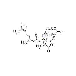 C=C1C(=O)OC2CC3=C[C@@H](C/C(C)=C/C(OC(=O)C=C(C)CCC=C(C)C)[C@H]12)OC3=O